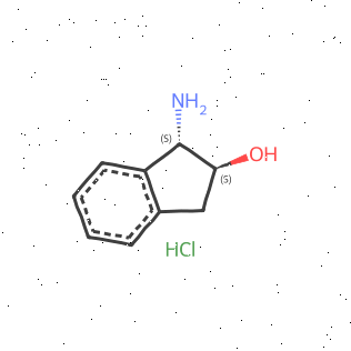 Cl.N[C@H]1c2ccccc2C[C@@H]1O